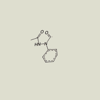 CC(=O)NN([C]=O)c1ccccc1